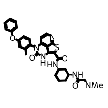 CNCC(=O)N[C@H]1CCC[C@H](NC(=O)c2sc3nccc4c3c2NC(=O)N4c2ccc(Oc3ccccc3)cc2C)C1